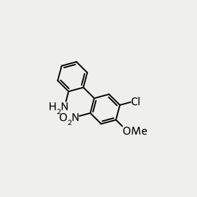 COc1cc([N+](=O)[O-])c(-c2ccccc2N)cc1Cl